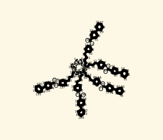 C[Si]1(C)O[Si](C)(C)O[Si](CCCCc2ccc(OC(=O)c3ccc(-c4ccccc4)cc3)cc2)(CCCCc2ccc(OC(=O)c3ccc(-c4ccccc4)cc3)cc2)O[Si](CCCCc2ccc(OC(=O)c3ccc(-c4ccccc4)cc3)cc2)(CCCCc2ccc(OC(=O)c3ccc(-c4ccccc4)cc3)cc2)O[Si](C)(CCCCc2ccc(OC(=O)c3ccc(-c4ccccc4)cc3)cc2)O1